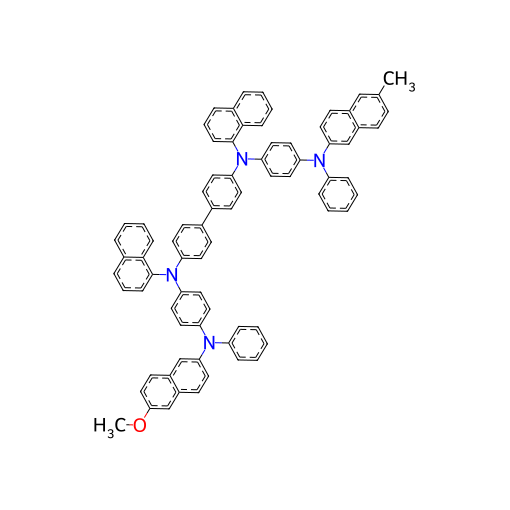 COc1ccc2cc(N(c3ccccc3)c3ccc(N(c4ccc(-c5ccc(N(c6ccc(N(c7ccccc7)c7ccc8cc(C)ccc8c7)cc6)c6cccc7ccccc67)cc5)cc4)c4cccc5ccccc45)cc3)ccc2c1